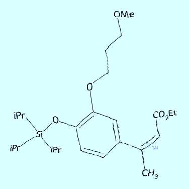 CCOC(=O)/C=C(/C)c1ccc(O[Si](C(C)C)(C(C)C)C(C)C)c(OCCCOC)c1